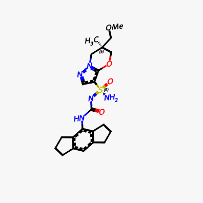 COC[C@@]1(C)COc2c([S@](N)(=O)=NC(=O)Nc3c4c(cc5c3CCC5)CCC4)cnn2C1